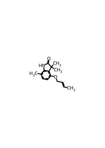 CC=CCOc1ccc(C)c2c1C(C)(C)C(=O)N2